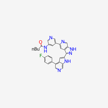 CCCCC(=O)Nc1cncc(-c2cc3c(-c4cc5c(-c6ccc(F)cc6)cncc5[nH]4)n[nH]c3cn2)c1